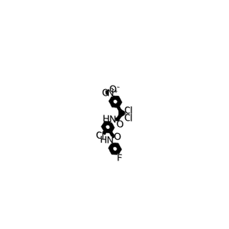 O=C(Nc1ccc(F)cc1)c1cc(NC(=O)C2C(c3ccc([N+](=O)[O-])cc3)C2(Cl)Cl)ccc1Cl